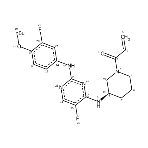 C=CC(=O)N1CCC[C@@H](Nc2nc(Nc3ccc(OCCCC)c(F)c3)ncc2F)C1